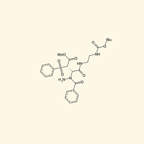 COC(=O)[C@H](C(C(=O)NCCNC(=O)OC(C)(C)C)N(N)C(=O)c1ccccc1)S(=O)(=O)c1ccccc1